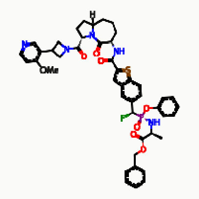 COc1ccncc1C1CN(C(=O)[C@@H]2CC[C@@H]3CCC[C@H](NC(=O)c4cc5cc([C@H](F)[P@@](=O)(N[C@@H](C)C(=O)OCc6ccccc6)Oc6ccccc6)ccc5s4)C(=O)N32)C1